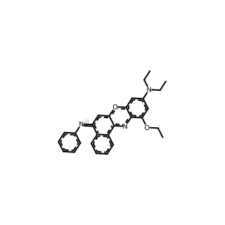 CCOc1cc(N(CC)CC)cc2oc3c/c(=N/c4ccccc4)c4ccccc4c-3nc12